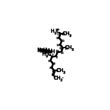 [CH2]/C=C(\C)CCC[C@H](C)CCC[C@H](C)CCCC(C)C.[NaH].[NaH].[NaH].[NaH]